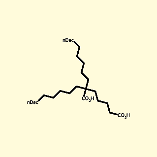 CCCCCCCCCCCCCCCC(CCCCCCCCCCCCCCC)(CCCCC(=O)O)C(=O)O